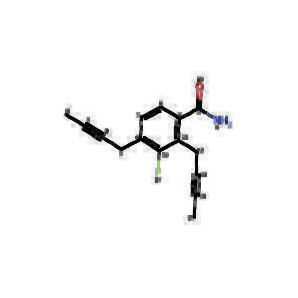 CC#CCc1ccc(C(N)=O)c(CC#CC)c1F